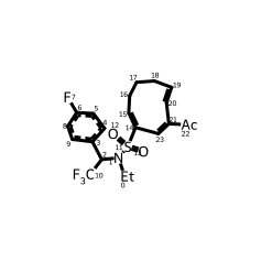 CCN(C(c1ccc(F)cc1)C(F)(F)F)S(=O)(=O)C1=C/CCC/C=C/C(C(C)=O)=C\1